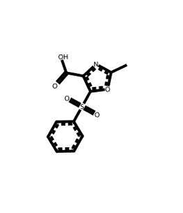 Cc1nc(C(=O)O)c(S(=O)(=O)c2ccccc2)o1